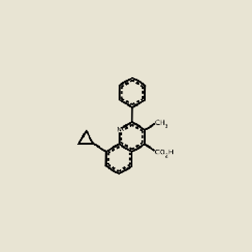 Cc1c(-c2ccccc2)nc2c(C3CC3)cccc2c1C(=O)O